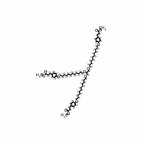 COC(=O)/C=C/c1ccc(OCCCCCCCCCCCCOCC(COCCCCCCCCCCCCOc2ccc(/C=C/C(=O)OC)cc2)OCCCCCCCCCCCCOc2ccc(/C=C/C(=O)OC)cc2)cc1